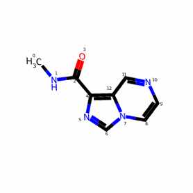 CNC(=O)c1ncn2ccncc12